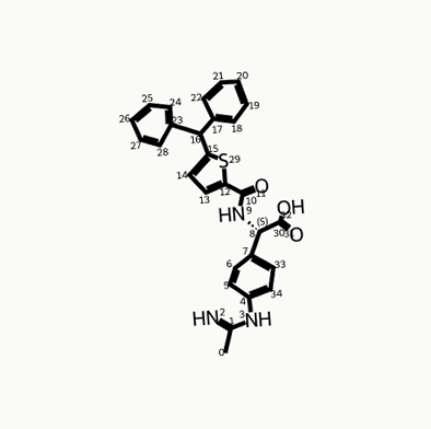 CC(=N)Nc1ccc([C@H](NC(=O)c2ccc(C(c3ccccc3)c3ccccc3)s2)C(=O)O)cc1